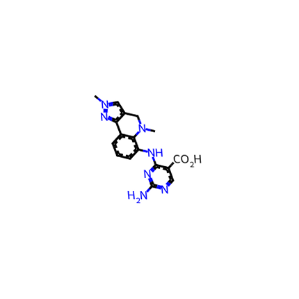 CN1Cc2cn(C)nc2-c2cccc(Nc3nc(N)ncc3C(=O)O)c21